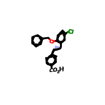 O=C(O)c1ccc(/C=C/c2cc(Cl)ccc2OCc2ccccc2)cc1